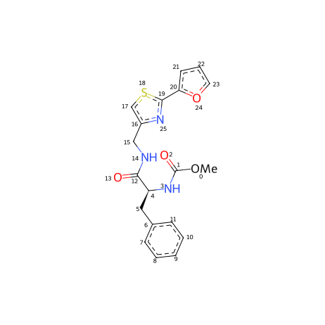 COC(=O)N[C@@H](Cc1ccccc1)C(=O)NCc1csc(-c2ccco2)n1